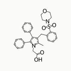 Cc1c(Cc2ccccc2S(=O)(=O)N2CCOCC2)c(-c2ccccc2)c(-c2ccccc2)n1CC(=O)O